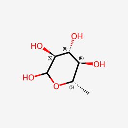 C[C@@H]1OC(O)[C@@H](O)[C@H](O)[C@H]1O